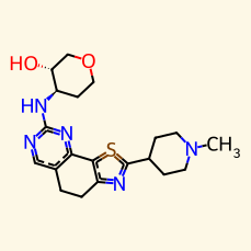 CN1CCC(c2nc3c(s2)-c2nc(N[C@@H]4CCOC[C@H]4O)ncc2CC3)CC1